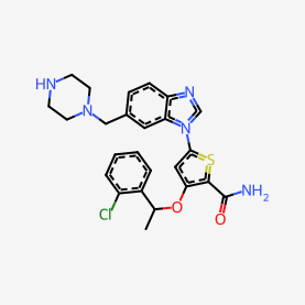 CC(Oc1cc(-n2cnc3ccc(CN4CCNCC4)cc32)sc1C(N)=O)c1ccccc1Cl